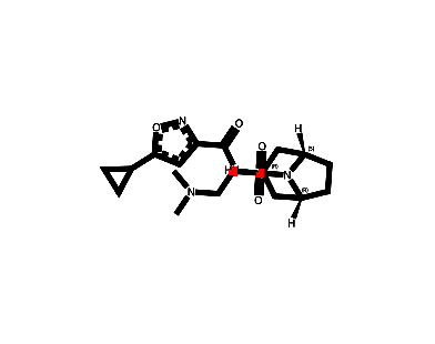 CN(C)CCS(=O)(=O)N1[C@@H]2CC[C@H]1C[C@@H](NC(=O)c1cc(C3CC3)on1)C2